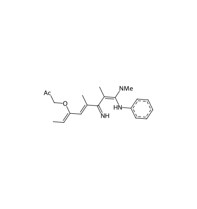 C/C=C(/C=C(\C)C(=N)/C(C)=C(/NC)Nc1ccccc1)OCC(C)=O